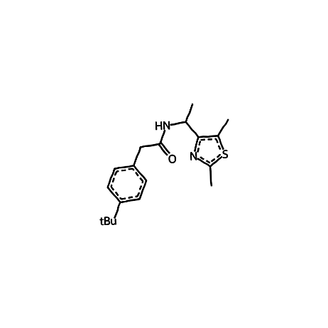 Cc1nc(C(C)NC(=O)Cc2ccc(C(C)(C)C)cc2)c(C)s1